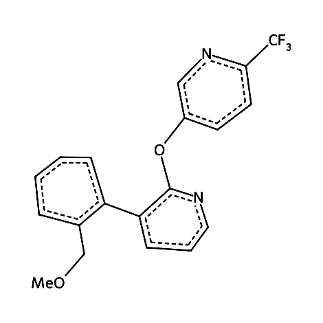 COCc1ccccc1-c1cccnc1Oc1ccc(C(F)(F)F)nc1